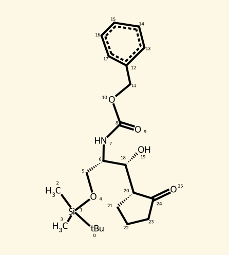 CC(C)(C)[Si](C)(C)OC[C@H](NC(=O)OCc1ccccc1)[C@H](O)[C@H]1CCCC1=O